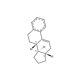 C1=C2c3ccccc3CC[C@H]2[C@@H]2CCC[C@H]2C1